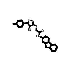 CCC1C(SCC(=O)Nc2ccc3c(c2)Cc2ccccc2-3)=NN=C1c1ccc(C)cc1